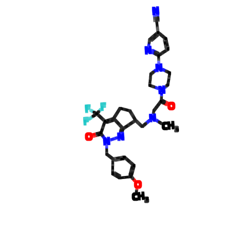 COc1ccc(Cn2nc3c(c(C(F)(F)F)c2=O)CCC3CN(C)CC(=O)N2CCN(c3ccc(C#N)cn3)CC2)cc1